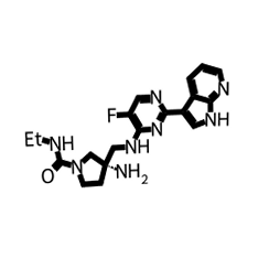 CCNC(=O)N1CC[C@](N)(CNc2nc(-c3c[nH]c4ncccc34)ncc2F)C1